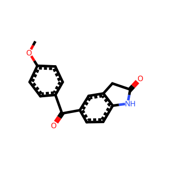 COc1ccc(C(=O)c2ccc3c(c2)CC(=O)N3)cc1